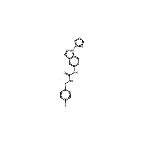 O=C(NCc1ccc(F)cc1)Nc1ccc2c(c1)ncn2-c1cscn1